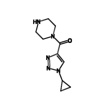 O=C(c1cn(C2CC2)nn1)N1CCNCC1